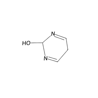 OC1N=CCC=N1